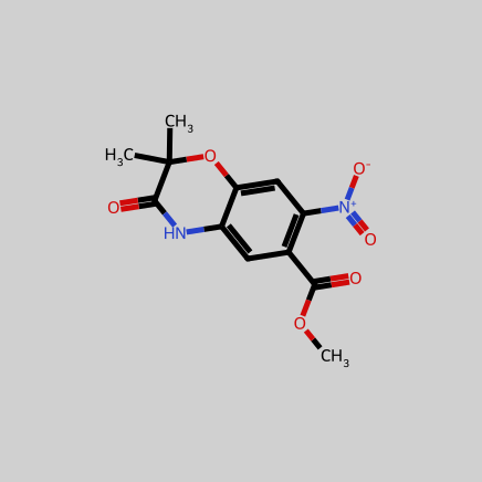 COC(=O)c1cc2c(cc1[N+](=O)[O-])OC(C)(C)C(=O)N2